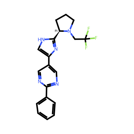 FC(F)(F)CN1CCC[C@@H]1c1nc(-c2cnc(-c3ccccc3)nc2)c[nH]1